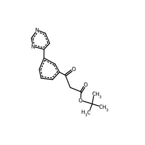 CC(C)(C)OC(=O)CC(=O)c1cccc(-c2ccncn2)c1